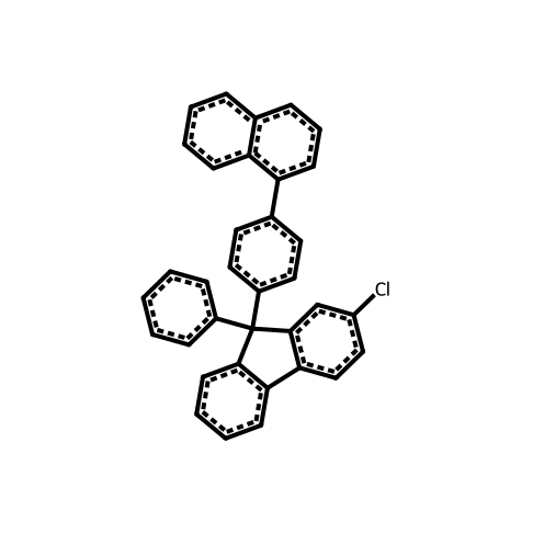 Clc1ccc2c(c1)C(c1ccccc1)(c1ccc(-c3cccc4ccccc34)cc1)c1ccccc1-2